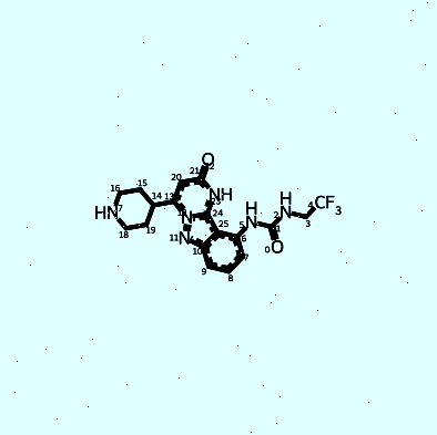 O=C(NCC(F)(F)F)Nc1cccc2nn3c(C4CCNCC4)cc(=O)[nH]c3c12